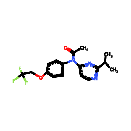 CC(=O)N(c1ccc(OCC(F)(F)F)cc1)c1ccnc(C(C)C)n1